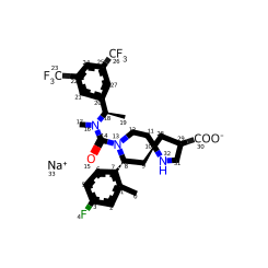 Cc1cc(F)ccc1[C@H]1C[C@@]2(CCN1C(=O)N(C)[C@H](C)c1cc(C(F)(F)F)cc(C(F)(F)F)c1)CC(C(=O)[O-])CN2.[Na+]